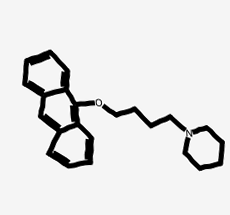 c1ccc2c(OCCCCN3CCCCC3)c3ccccc3cc2c1